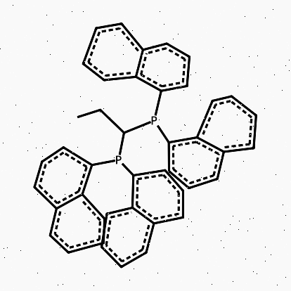 CCC(P(c1cccc2ccccc12)c1cccc2ccccc12)P(c1cccc2ccccc12)c1cccc2ccccc12